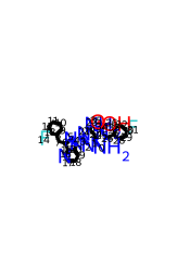 Nc1nc(-n2nc(Cc3ccccc3F)c3ncccc32)nc(N)c1N(Cc1ccc(F)cc1)C(=O)O